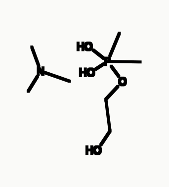 CN(C)C.CP(C)(O)(O)OCCO